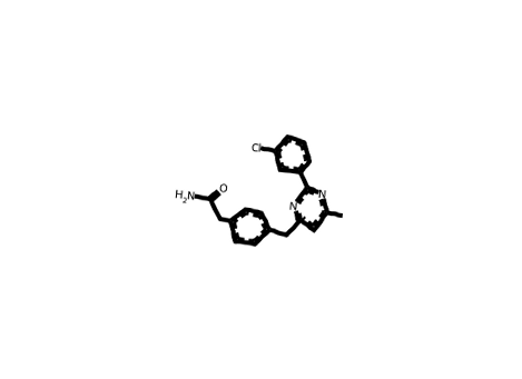 Cc1cc(Cc2ccc(CC(N)=O)cc2)nc(-c2cccc(Cl)c2)n1